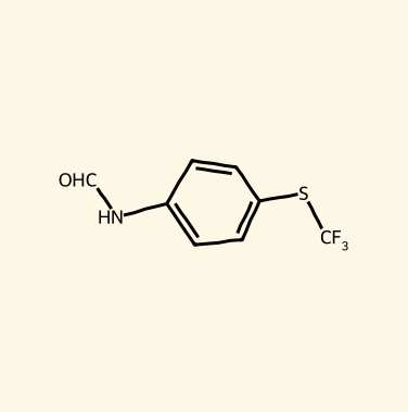 O=CNc1ccc(SC(F)(F)F)cc1